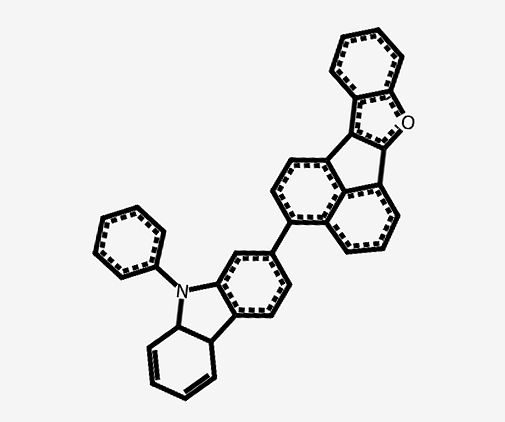 C1=CC2c3ccc(-c4ccc5c6c(cccc46)-c4oc6ccccc6c4-5)cc3N(c3ccccc3)C2C=C1